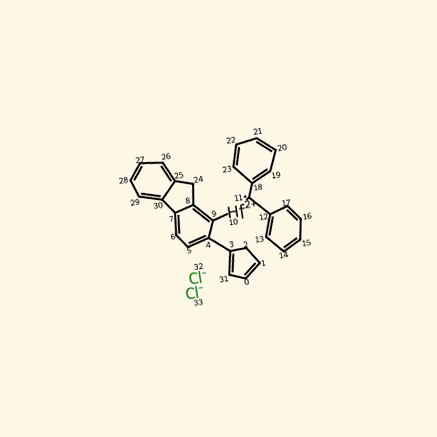 C1=CCC(c2ccc3c([c]2[Hf+2]=[C](c2ccccc2)c2ccccc2)Cc2ccccc2-3)=C1.[Cl-].[Cl-]